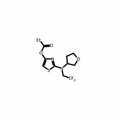 CCC(=O)Oc1csc(N(CC(F)(F)F)C2CCOC2)n1